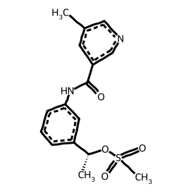 Cc1cncc(C(=O)Nc2cccc([C@@H](C)OS(C)(=O)=O)c2)c1